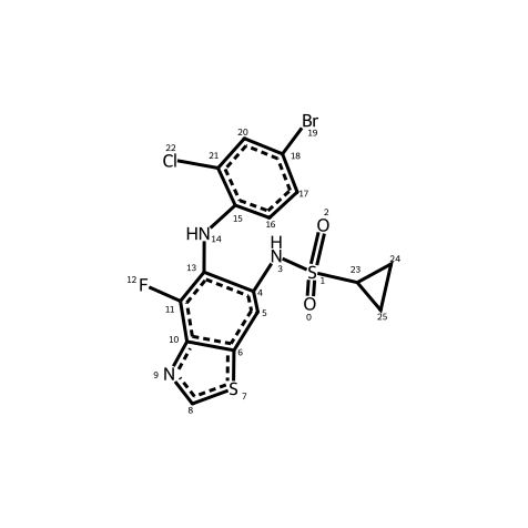 O=S(=O)(Nc1cc2scnc2c(F)c1Nc1ccc(Br)cc1Cl)C1CC1